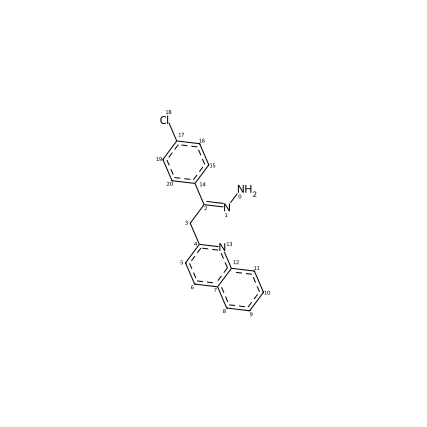 NN=C(Cc1ccc2ccccc2n1)c1ccc(Cl)cc1